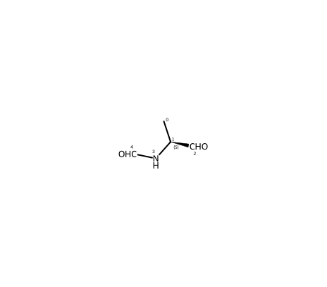 C[C@@H](C=O)NC=O